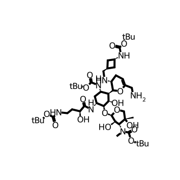 CN(C(=O)OC(C)(C)C)[C@@H]1[C@@H](O)[C@@H](O[C@@H]2[C@@H](O)[C@H](C3OC(CN)=CC[C@H]3NC[C@H]3C[C@H](NC(=O)OC(C)(C)C)C3)[C@@H](NC(=O)OC(C)(C)C)C[C@H]2NC(=O)[C@@H](O)CCNC(=O)OC(C)(C)C)OC[C@]1(C)O